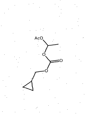 CC(=O)OC(C)OC(=O)OCC1CC1